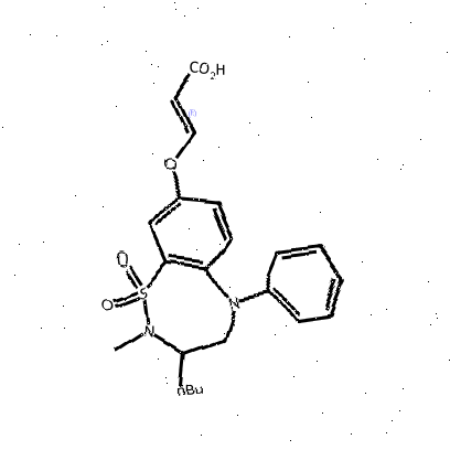 CCCCC1CN(c2ccccc2)c2ccc(O/C=C/C(=O)O)cc2S(=O)(=O)N1C